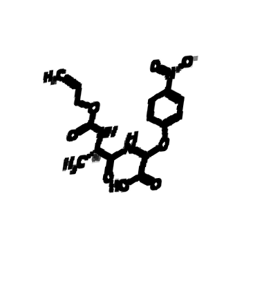 C=CCOC(=O)N[C@@H](C)C(=O)NC(Oc1ccc([N+](=O)[O-])cc1)C(=O)O